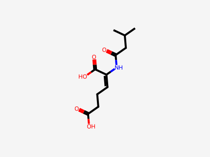 CC(C)CC(=O)NC(=CCCC(=O)O)C(=O)O